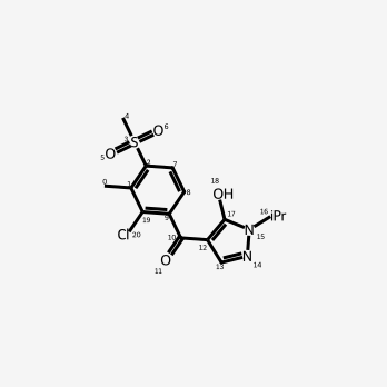 Cc1c(S(C)(=O)=O)ccc(C(=O)c2cnn(C(C)C)c2O)c1Cl